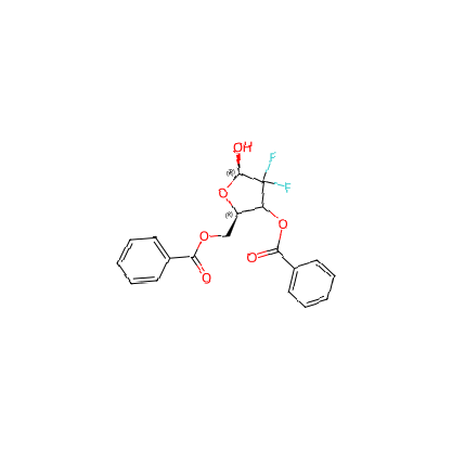 O=C(OC[C@H]1O[C@@H](O)C(F)(F)C1OC(=O)c1ccccc1)c1ccccc1